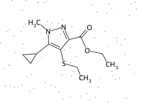 CCOC(=O)c1nn(C)c(C2CC2)c1SCC